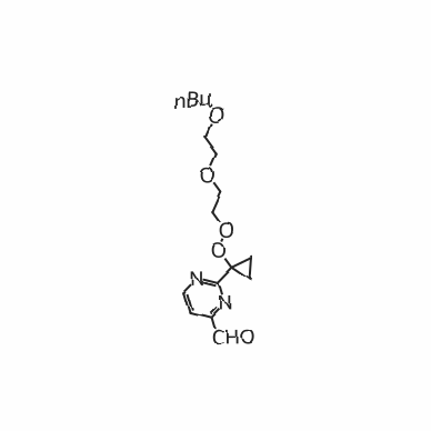 CCCCOCCOCCOOC1(c2nccc(C=O)n2)CC1